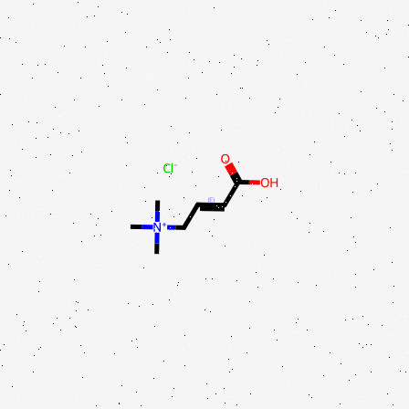 C[N+](C)(C)C/C=C/C(=O)O.[Cl-]